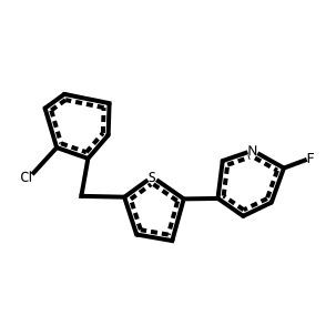 Fc1ccc(-c2ccc(Cc3ccccc3Cl)s2)cn1